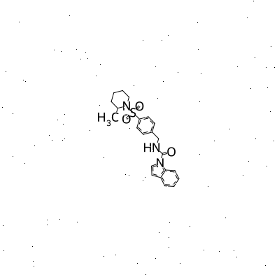 CC1CCCCN1S(=O)(=O)c1ccc(CNC(=O)n2ccc3ccccc32)cc1